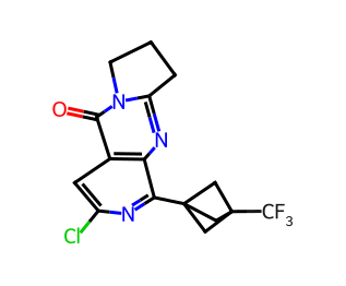 O=c1c2cc(Cl)nc(C34CC(C(F)(F)F)(C3)C4)c2nc2n1CCC2